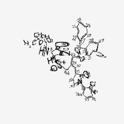 CC(C)(C)OC(=O)N[C@@H]1C(=O)N2C(C(=O)OC(c3ccccc3)c3ccccc3)=C(/C=C3\CCN(c4cccnc4Cl)C3=O)C[S+]([O-])[C@H]12